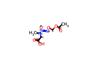 CC(=O)OCON=[N+]([O-])N(C)CC(=O)O